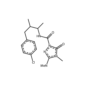 CNc1nn(C(=O)NC(C)C(C)Cc2ccc(Cl)cc2)c(=O)n1C